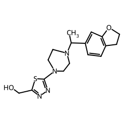 CC(c1ccc2c(c1)OCC2)N1CCN(c2nnc(CO)s2)CC1